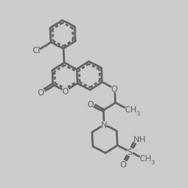 CC(Oc1ccc2c(-c3ccccc3Cl)cc(=O)oc2c1)C(=O)N1CCCC(S(C)(=N)=O)C1